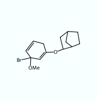 COC1(Br)C=CCC(OC2CC3CCC2C3)=C1